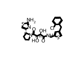 Nc1nc([C@H]2CCCN2C(=O)[C@H](O)[C@@H](O)C(=O)NCc2cc(Cc3ccccc3Cl)cs2)cs1